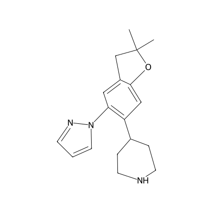 CC1(C)Cc2cc(-n3cccn3)c(C3CCNCC3)cc2O1